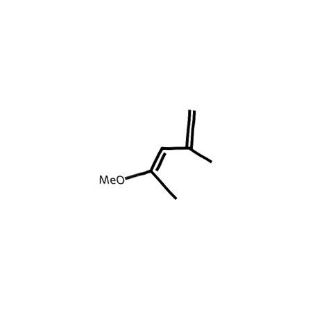 C=C(C)C=C(C)OC